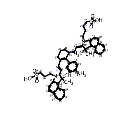 CC1(C)C(/C=C/C2=C(c3ccc(N)cc3)C(=C/C=C3/N(CC/C=C\S(=O)(=O)O)c4ccc5ccccc5c4C3(C)C)/CCC2)=[N+](CCCS(=O)(=O)O)c2ccc3ccccc3c21